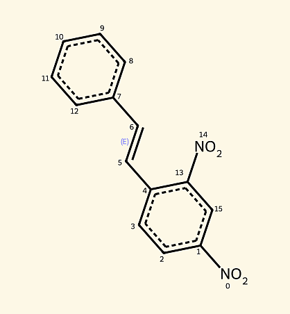 O=[N+]([O-])c1ccc(/C=C/c2ccccc2)c([N+](=O)[O-])c1